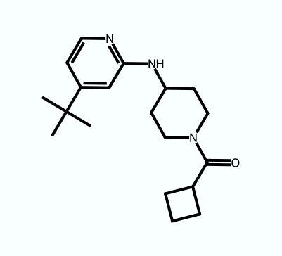 CC(C)(C)c1ccnc(NC2CCN(C(=O)C3CCC3)CC2)c1